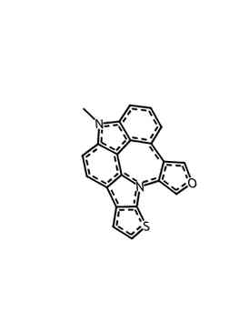 Cn1c2cccc3c4cocc4n4c5sccc5c5ccc1c(c32)c54